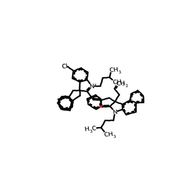 C=CCC1(Cc2ccccc2)/C(=C\C=C\C2=[N+](CCC(C)C)c3ccc(Cl)cc3C2(Cc2ccccc2)Cc2ccccc2)N(CCC(C)C)c2ccc3ccccc3c21